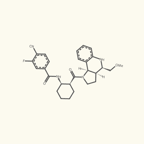 [C-]#[N+]c1ccc(C(=O)N[C@@H]2CCCC[C@@H]2C(=O)N2CC[C@@H]3[C@H](COC)Nc4ccccc4[C@@H]32)cc1F